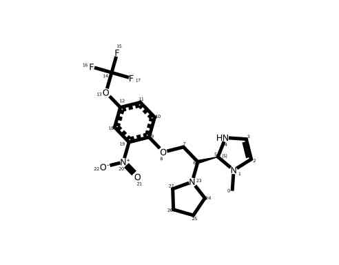 CN1C=CN[C@@H]1C(COc1ccc(OC(F)(F)F)cc1[N+](=O)[O-])N1CCCC1